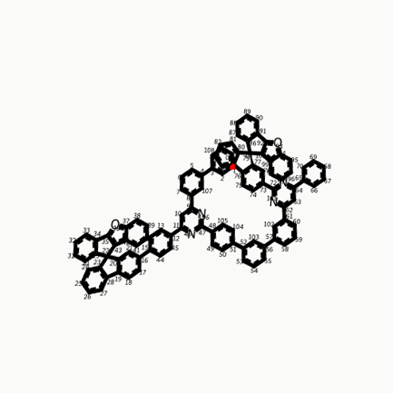 c1ccc(-c2cccc(-c3cc(-c4ccc(-c5ccc6c(c5)C5(c7ccccc7-6)c6ccccc6-c6oc7ccccc7c65)cc4)nc(-c4ccc(-c5cccc(-c6cccc(-c7cc(-c8ccccc8)nc(-c8ccc9c(c8)[C@@]8(c%10ccccc%10-9)c9ccccc9-c9oc%10ccccc%10c98)n7)c6)c5)cc4)n3)c2)cc1